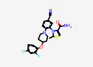 CC1SC=C(C(N)=O)N1c1cc(C#N)ccc1N1CCC(Oc2ccc(F)cc2F)CC1